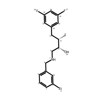 CCc1cccc(CNC[C@@H](O)[C@@H](C)Cc2cc(F)cc(F)c2)c1